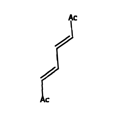 CC(=O)C=CC=CC(C)=O